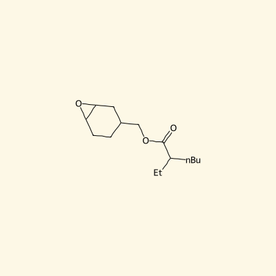 CCCCC(CC)C(=O)OCC1CCC2OC2C1